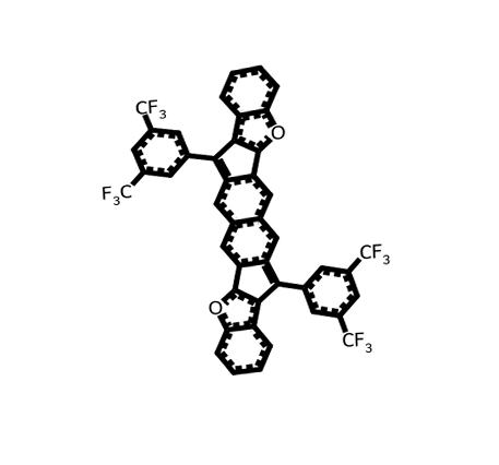 FC(F)(F)c1cc(C2=c3cc4cc5c(cc4cc3-c3oc4ccccc4c32)=C(c2cc(C(F)(F)F)cc(C(F)(F)F)c2)c2c-5oc3ccccc23)cc(C(F)(F)F)c1